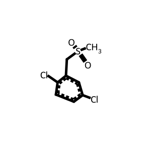 CS(=O)(=O)Cc1cc(Cl)ccc1Cl